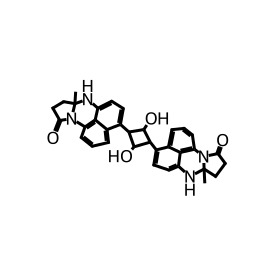 CC12CCC(=O)N1c1cccc3c(C4C(O)C(c5ccc6c7c(cccc57)N5C(=O)CCC5(C)N6)C4O)ccc(c13)N2